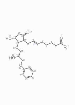 O=C(O)CCCC/C=C/CC1C(=O)CC(O)C1OCC(O)COc1ccccc1